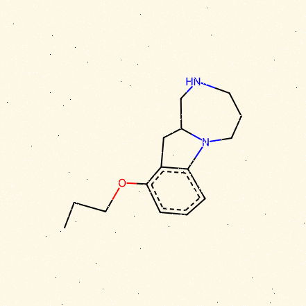 CCCOc1cccc2c1CC1CNCCCN21